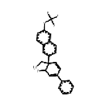 CCC1(c2ccc3cc(OC(F)(F)F)ccc3c2)C=CC(c2ccccc2)=CC1F